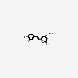 COC1=CC(=O)OC(C=Cc2ccc(F)c(F)c2)C1